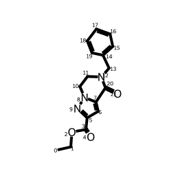 CCOC(=O)c1cc2n(n1)CCN(Cc1ccccc1)C2=O